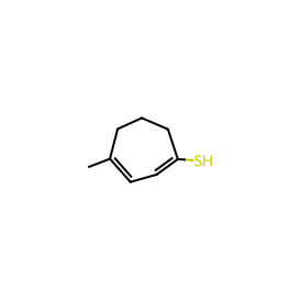 CC1=CC=C(S)CCC1